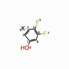 Oc1ccc(F)c(F)c1.[K]